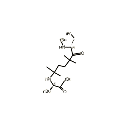 CCCC[C@@H](NC(C)(C)CCC(C)(C)C(=O)[C@@H](CC(C)C)NC(C)(C)C)C(=O)C(C)(C)C